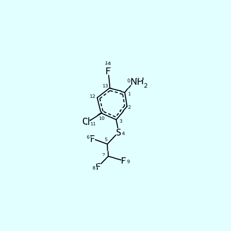 Nc1cc(SC(F)C(F)F)c(Cl)cc1F